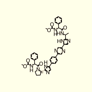 COC(=O)NC(C(=O)NC(C)c1ncc(-c2cnc(-c3ccc(-c4cnc([C@@H]5CCCN5C(=O)C(NC(=O)OC)c5ccccc5)[nH]4)cc3)cn2)[nH]1)c1ccccc1